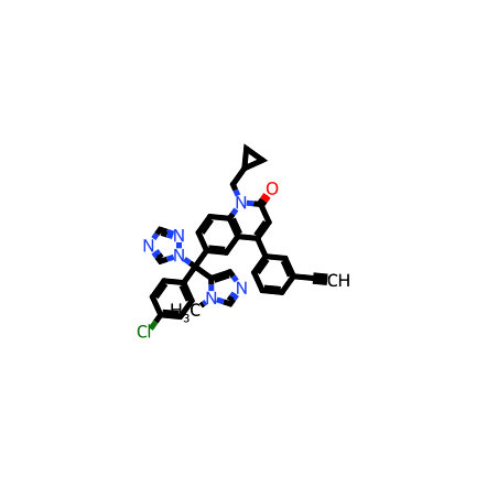 C#Cc1cccc(-c2cc(=O)n(CC3CC3)c3ccc(C(c4ccc(Cl)cc4)(c4cncn4C)n4cncn4)cc23)c1